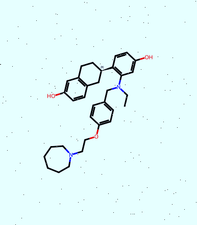 CCN(Cc1ccc(OCCN2CCCCCC2)cc1)c1cc(O)ccc1[C@@H]1CCc2cc(O)ccc2C1